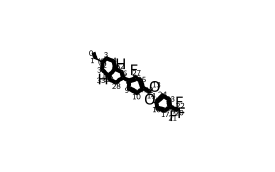 CC[C@H]1CC[C@@H]2CC(c3ccc(C(=O)Oc4ccc(C(F)(F)F)cc4)cc3F)CC[C@H]2C1